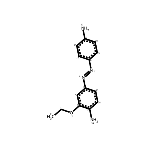 CCOc1cc(N=Nc2ccc(N)cc2)ccc1N